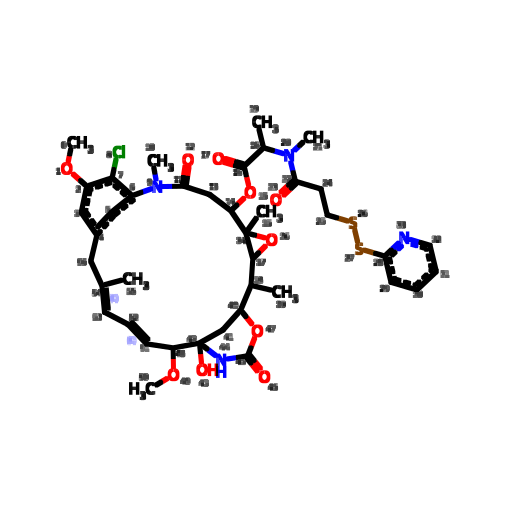 COc1cc2cc(c1Cl)N(C)C(=O)CC(OC(=O)C(C)N(C)C(=O)CCSSc1ccccn1)C1(C)OC1C(C)C1CC(O)(NC(=O)O1)C(OC)/C=C/C=C(\C)C2